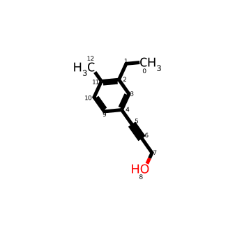 CCc1cc(C#CCO)ccc1C